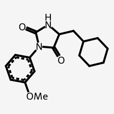 COc1cccc(N2C(=O)NC(CC3CCCCC3)C2=O)c1